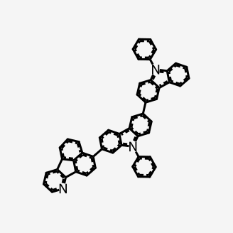 c1ccc(-n2c3ccccc3c3cc(-c4ccc5c(c4)c4ccc(-c6ccc7c8c(cccc68)-c6cccnc6-7)cc4n5-c4ccccc4)ccc32)cc1